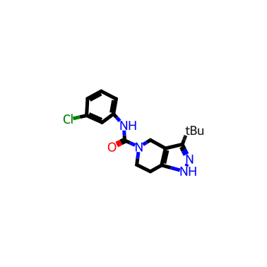 CC(C)(C)c1n[nH]c2c1CN(C(=O)Nc1cccc(Cl)c1)CC2